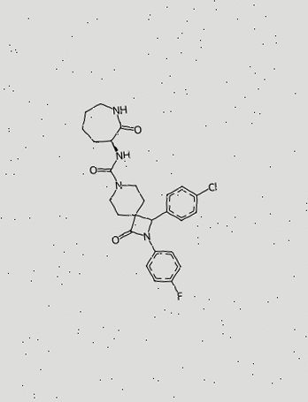 O=C1NCCCC[C@@H]1NC(=O)N1CCC2(CC1)C(=O)N(c1ccc(F)cc1)C2c1ccc(Cl)cc1